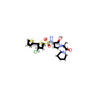 C[C@@H](C(=O)N1CCCCC1)N1CC[C@H](NS(=O)(=O)c2cc(Cl)c(-c3cccs3)s2)C1=O